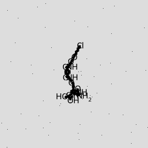 Nc1nc2c(c(C#CCOCCNC(=O)c3ccc(C(=O)NCCOCCOCCCCCCCl)cc3)cn2[C@H]2CC(O)[C@@H](CO)O2)c(=O)[nH]1